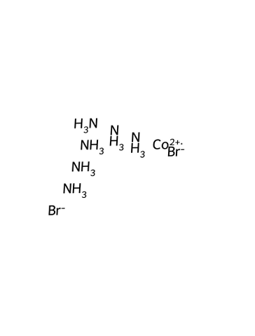 N.N.N.N.N.N.[Br-].[Br-].[Co+2]